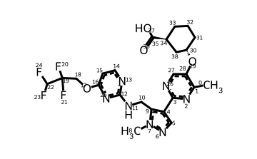 Cc1nc(-c2cnn(C)c2CNc2nccc(OCC(F)(F)C(F)F)n2)ncc1O[C@H]1CCC[C@H](C(=O)O)C1